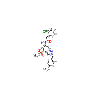 Cc1ccc(Cn2cc3c(S(C)(=O)=O)cc(NC(=O)Cc4ccccc4Cl)cc3n2)cc1